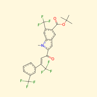 Cn1c(C(=O)C=C(c2cccc(C(F)(F)F)c2)C(F)(F)F)cc2cc(C(=O)OC(C)(C)C)c(C(F)(F)F)cc21